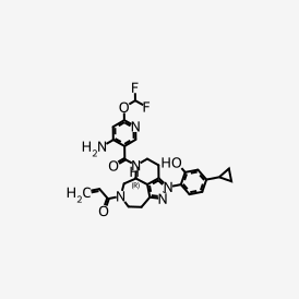 C=CC(=O)N1CCc2nn(-c3ccc(C4CC4)cc3O)c3c2[C@H](C1)N(C(=O)c1cnc(OC(F)F)cc1N)CC3